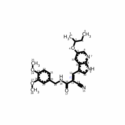 CCC(C)Oc1cnc2[nH]cc(/C=C(\C#N)C(=O)NCc3ccc(OC)c(OC)c3)c2c1